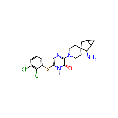 Cn1c(Sc2cccc(Cl)c2Cl)cnc(N2CCC3(CC2)CC2CC2C3N)c1=O